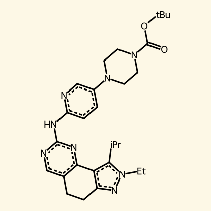 CCn1nc2c(c1C(C)C)-c1nc(Nc3ccc(N4CCN(C(=O)OC(C)(C)C)CC4)cn3)ncc1CC2